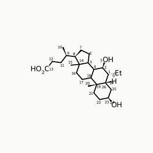 CC[C@H]1[C@H](O)C2C3CC[C@H]([C@H](C)CCC(=O)O)C3(C)CCC2[C@@]2(C)CC[C@H](O)C[C@@H]12